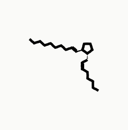 CCCCC/C=C\C[C@H]1CCC[C@@H]1/C=C/CCCCCCCC